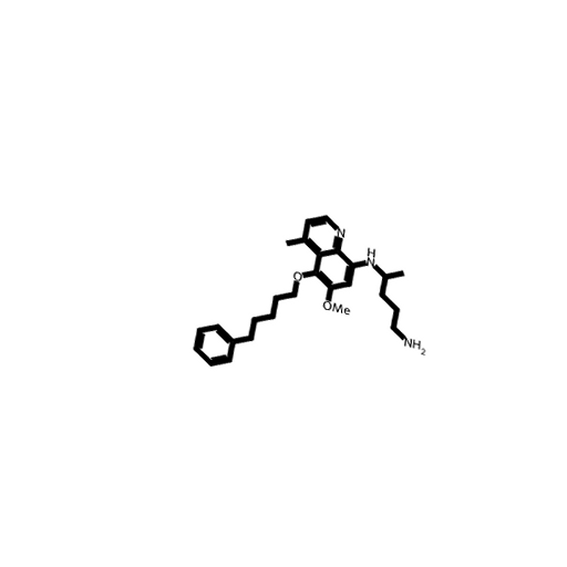 COc1cc(NC(C)CCCN)c2nccc(C)c2c1OCCCCCc1ccccc1